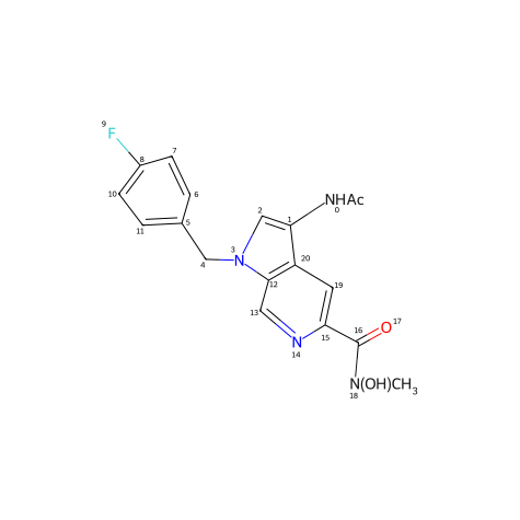 CC(=O)Nc1cn(Cc2ccc(F)cc2)c2cnc(C(=O)N(C)O)cc12